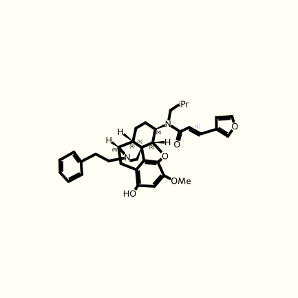 COc1cc(O)c2c3c1O[C@H]1[C@H](N(CC(C)C)C(=O)/C=C/c4ccoc4)CC[C@H]4[C@@H](C2)N(CCc2ccccc2)CC[C@@]341